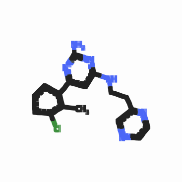 Cc1c(Cl)cccc1-c1cc(NCCc2cnccn2)nc(N)n1